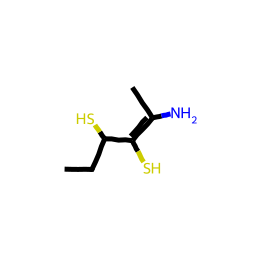 CCC(S)/C(S)=C(\C)N